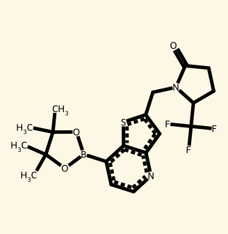 CC1(C)OB(c2ccnc3cc(CN4C(=O)CCC4C(F)(F)F)sc23)OC1(C)C